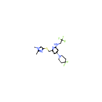 Cc1nc(SCc2cc(N3CCC(F)(F)CC3)cc(NCC(F)(F)F)n2)cn1C